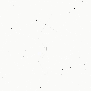 CC/[C]=N/OC(C)(C)C